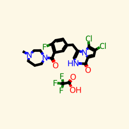 CN1CCCN(C(=O)c2cc(Cc3c[nH]c(=O)c4cc(Cl)c(Cl)n34)ccc2F)CC1.O=C(O)C(F)(F)F